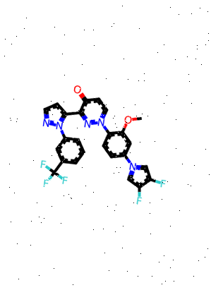 COc1cc(-n2cc(F)c(F)c2)ccc1-n1ccc(=O)c(-c2ccnn2-c2cccc(C(F)(F)F)c2)n1